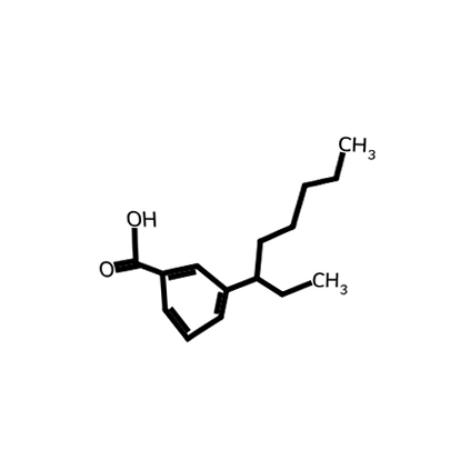 CCCCCC(CC)c1cccc(C(=O)O)c1